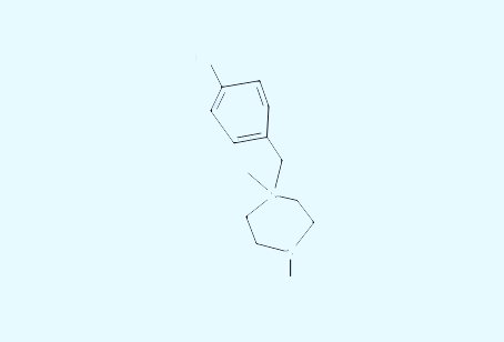 CC[N+]1(Cc2ccc(C)cc2)CCN(C=O)CC1